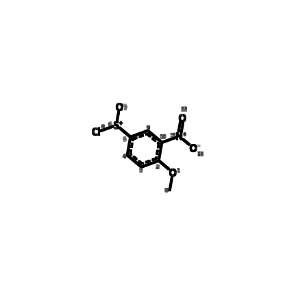 COc1ccc([S+]([O-])Cl)cc1[N+](=O)[O-]